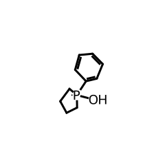 O[P]1(c2ccccc2)CCCC1